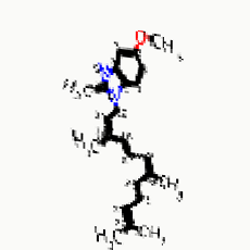 COc1ccc2c(c1)nc(C)n2CC=C(C)CCC=C(C)CCC=C(C)C